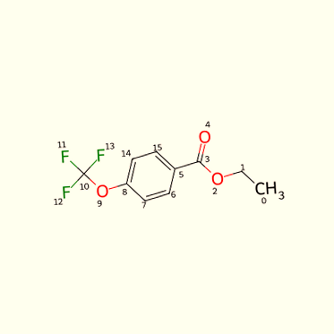 CCOC(=O)c1ccc(OC(F)(F)F)cc1